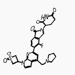 O=C1CCC(N2Cc3c(ccc(-c4cc(CN5CCCC5)c5ccn(C6CS(=O)(=O)C6)c5n4)c3F)C2=O)C(=O)N1